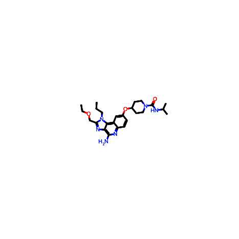 CCCn1c(COCC)nc2c(N)nc3ccc(OC4CCN(C(=O)NC(C)C)CC4)cc3c21